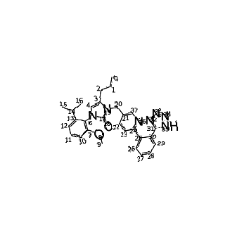 CCCc1cn(-c2c(OC)cccc2C(C)C)c(=O)n1Cc1ccc(-c2ccccc2-c2nnn[nH]2)nc1